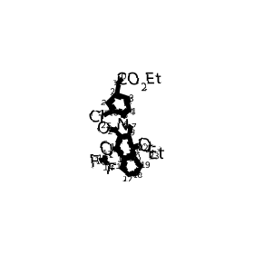 CCOC(=O)Cc1ccc(N2Cc3c(c(OC(F)F)c4ccccc4c3OCC)C2=O)c(Cl)c1